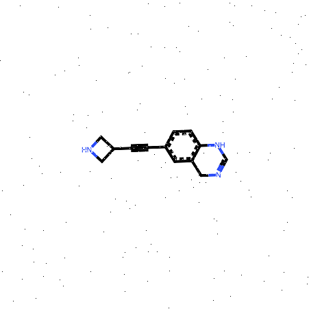 C(#CC1CNC1)c1ccc2c(c1)[CH]N=CN2